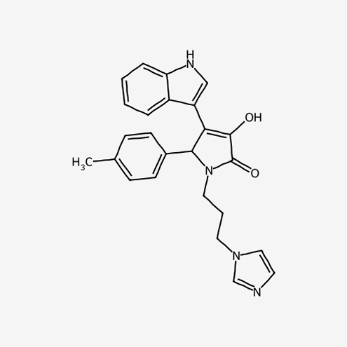 Cc1ccc(C2C(c3c[nH]c4ccccc34)=C(O)C(=O)N2CCCn2ccnc2)cc1